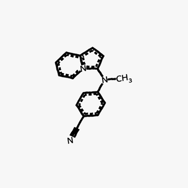 CN(c1ccc(C#N)cc1)c1ccc2ccccn12